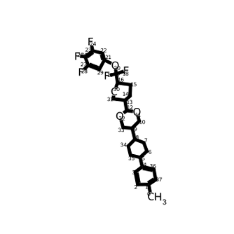 Cc1ccc(C2CCC(C3COC(C4CCC(C(F)(F)Oc5cc(F)c(F)c(F)c5)CC4)OC3)CC2)cc1